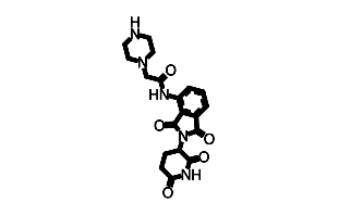 O=C1CCC(N2C(=O)c3cccc(NC(=O)CN4CCNCC4)c3C2=O)C(=O)N1